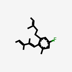 C/C=C(\C)CCc1cc(F)cc(C)c1/C=C(C)/C(C)=C/C